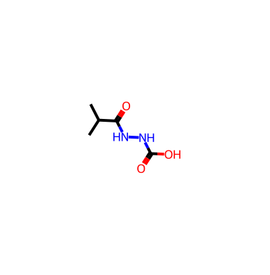 CC(C)C(=O)NNC(=O)O